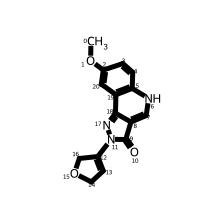 COc1ccc2[nH]cc3c(=O)n(C4=CCOC4)nc-3c2c1